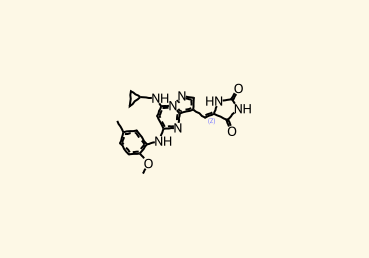 COc1ccc(C)cc1Nc1cc(NC2CC2)n2ncc(/C=C3\NC(=O)NC3=O)c2n1